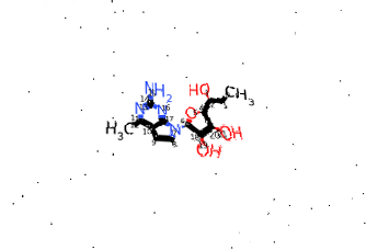 CC[C@@H](O)[C@H]1O[C@@H](n2ccc3c(C)nc(N)nc32)[C@H](O)[C@@H]1O